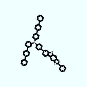 c1ccc(-c2ccc(-c3ccc(N(c4ccc(-c5ccc6c(c5)oc5cc7nc(-c8ccccc8)oc7cc56)cc4)c4cccc(-c5ccc(-c6ccccc6)cc5)c4)cc3)cc2)cc1